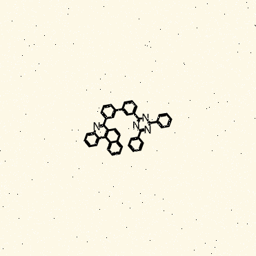 c1ccc(-c2nc(-c3ccccc3)nc(-c3cccc(-c4cccc(-c5nc6ccccc6c6c5ccc5ccccc56)c4)c3)n2)cc1